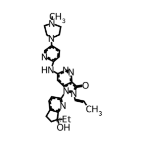 CC=Cn1c(=O)c2nnc(Nc3ccc(N4CCN(C)CC4)cn3)cc2n1-c1ccc2c(n1)[C@@](O)(CC)CC2